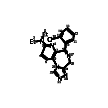 CCN(CC)c1ccc2c(n1)C(c1ccccc1Cl)=NCc1nncn1-2